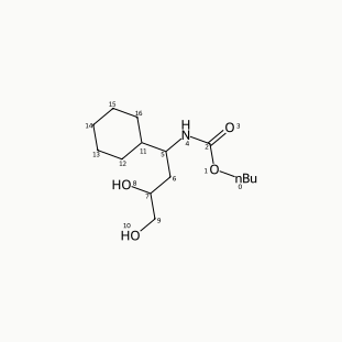 CCCCOC(=O)NC(CC(O)CO)C1CCCCC1